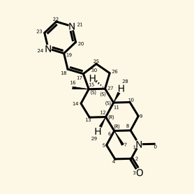 CN1C(=O)CC[C@@]2(C)C1CC[C@@H]1[C@H]2CC[C@]2(C)C(=Cc3cnccn3)CC[C@@H]12